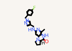 Cc1nc(NCc2cnn(Cc3ccc(F)cc3)c2)cc2c1NC(=O)[C@@H]1CCCN21